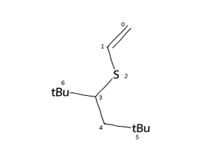 C=CSC(CC(C)(C)C)C(C)(C)C